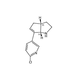 Clc1ccc(C2=CC[C@@H]3CCN[C@H]23)cn1